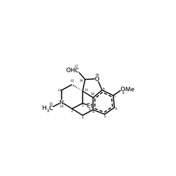 CCC1C2Cc3ccc(OC)c4c3[C@]1(CCN2C)C(C=O)O4